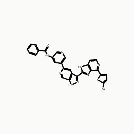 CC(=O)c1ccc(-c2nccc3[nH]c(-c4n[nH]c5cnc(-c6cncc(NC(=O)c7ccccc7)c6)cc45)nc23)s1